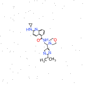 CC(C)c1ncc(C(CNC(=O)c2cccc3nc(NC4CC4)ccc23)N2CCOCC2)cn1